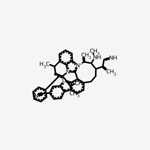 C=C(C=N)C1CCc2ccc3c(oc4cc(C#N)ccc43)c2-c2n3c4c(cccc4[n+]2C(=C)C1NC)C(C)c1cc(-c2ccccc2)cc(C(C)C)c1-3